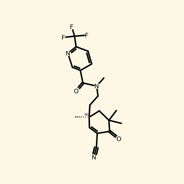 CN(CC[C@]1(C)C=C(C#N)C(=O)C(C)(C)C1)C(=O)c1ccc(C(F)(F)F)nc1